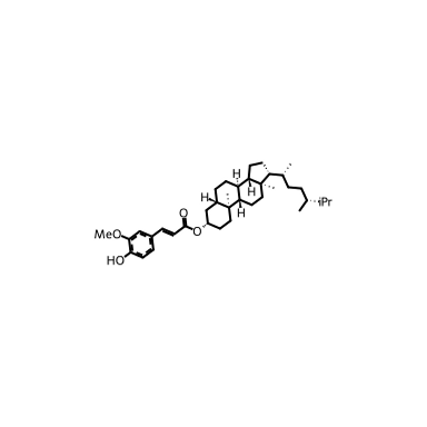 COc1cc(/C=C/C(=O)O[C@H]2CC[C@@]3(C)[C@@H](CC[C@@H]4[C@@H]3CC[C@]3(C)[C@@H]([C@H](C)CC[C@@H](C)C(C)C)CC[C@@H]43)C2)ccc1O